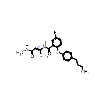 CCCCc1ccc(Oc2ccc(F)cc2C(=O)N/C(C)=C/C(=O)NC)cc1